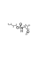 CCCCOC(=O)NC1CCC1OC